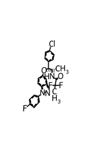 C[C@H](NC(=O)C(C)(F)F)[C@@H](Oc1ccc2c(cnn2-c2ccc(F)cc2)c1)c1ccc(Cl)cc1